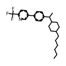 CCCCCCC1CCC(C(C)c2ccc(-c3ccc(C(F)(F)F)nc3)cc2)CC1